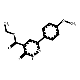 CCOC(=O)c1cc(-c2ccc(OC)cc2)n[nH]c1=O